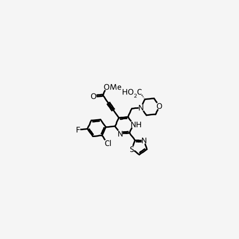 COC(=O)C#CC1=C(CN2CCOC[C@H]2C(=O)O)NC(c2nccs2)=NC1c1ccc(F)cc1Cl